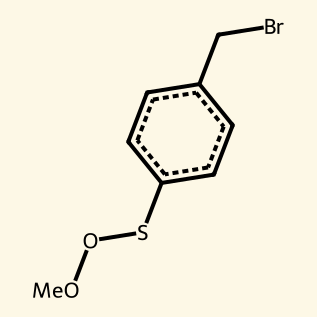 COOSc1ccc(CBr)cc1